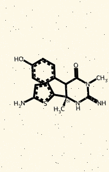 CN1C(=N)N[C@](C)(c2ccc(N)s2)C(c2ccc(O)cc2)C1=O